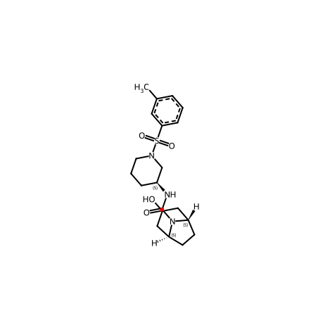 Cc1cccc(S(=O)(=O)N2CCC[C@H](NC(=O)N3[C@H]4CC[C@H]3CC(O)C4)C2)c1